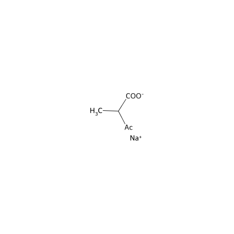 CC(=O)C(C)C(=O)[O-].[Na+]